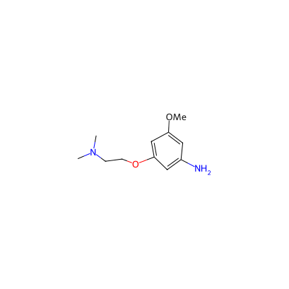 COc1cc(N)cc(OCCN(C)C)c1